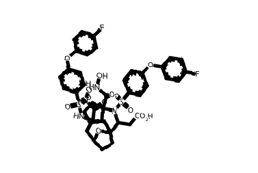 O=C(O)CC(N(C1(C(=O)NO)CCCC1)S(=O)(=O)c1ccc(Oc2ccc(F)cc2)cc1)C12CCC(CC(NS(=O)(=O)c3ccc(Oc4ccc(F)cc4)cc3)(C(=O)NO)C1)O2